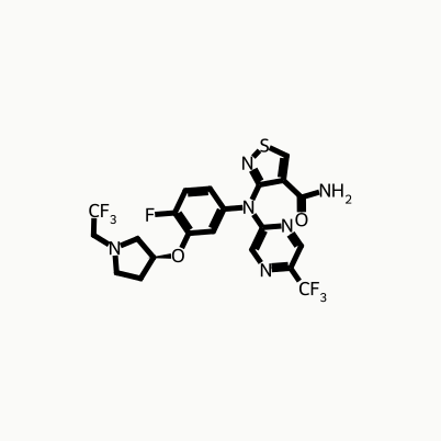 NC(=O)c1csnc1N(c1ccc(F)c(O[C@H]2CCN(CC(F)(F)F)C2)c1)c1cnc(C(F)(F)F)cn1